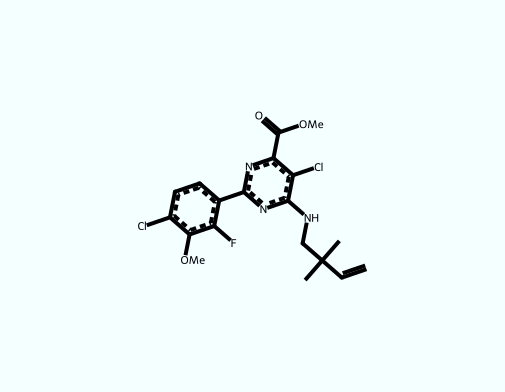 C=CC(C)(C)CNc1nc(-c2ccc(Cl)c(OC)c2F)nc(C(=O)OC)c1Cl